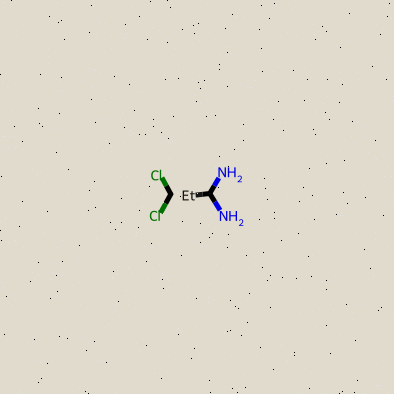 CCC(N)N.ClCCl